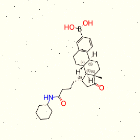 C[C@]12CC[C@@H]3c4ccc(B(O)O)cc4CC[C@H]3[C@@H]1[C@@H](CCCC(=O)NC1CCCCC1)CC2=O